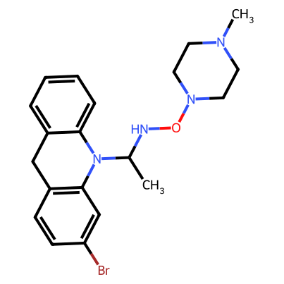 CC(NON1CCN(C)CC1)N1c2ccccc2Cc2ccc(Br)cc21